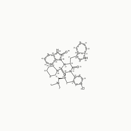 CN(C)C[C@@H]1Cc2cc(Cl)ccc2N(C(=O)C(Cc2c[nH]c3ccccc23)N(C(=O)N2CCCCC2)n2c(=O)[nH]c3ccccc32)C1